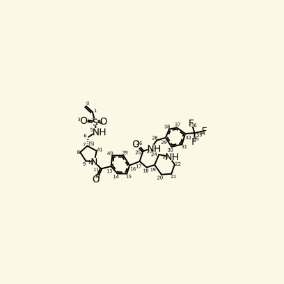 C=CS(=O)(=O)NC[C@H]1CCN(C(=O)c2ccc(C(CC3CCCNC3)C(=O)NCc3ccc(C(F)(F)F)cc3)cc2)C1